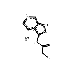 O=C(CF)Oc1c[nH]c2cnccc12.[KH]